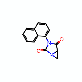 O=C1C2CN2C(=O)N1c1cccc2ccccc12